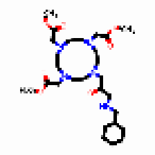 COC(=O)CN1CCN(CC(=O)OC)CCN(CC(O)CNCC2CCCCC2)CCN(CC(=O)OC)CC1